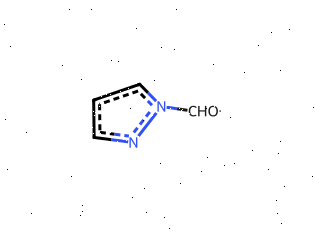 O=[C]n1cccn1